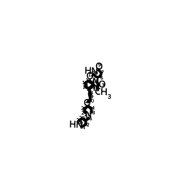 Cn1c(=O)n(C2CCC(=O)NC2=O)c2cccc(C#CCOC3CCN(CC4CCNCC4)CC3)c21